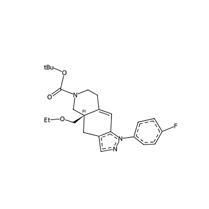 CCOC[C@]12Cc3cnn(-c4ccc(F)cc4)c3C=C1CCN(C(=O)OC(C)(C)C)C2